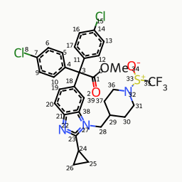 COC(=O)C(c1ccc(Cl)cc1)(c1ccc(Cl)cc1)c1ccc2nc(C3CC3)n(CC3CCN([S+]([O-])C(F)(F)F)CC3)c2c1